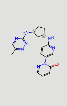 Cc1cnc(N[C@H]2CC[C@H](Nc3ccc(-n4ncccc4=O)cn3)C2)nn1